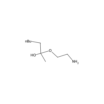 CCCCCC(C)(O)OCCN